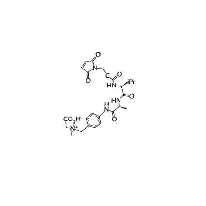 CC(C)[C@H](NC(=O)CCN1C(=O)C=CC1=O)C(=O)N[C@@H](C)C(=O)Nc1ccc(C[N+](C)(C)CC(=O)O)cc1